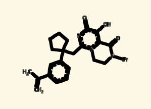 C=C(C)c1cccc(C2(Cc3nc(=O)c(O)c4n3CCN(C(C)C)C4=O)CCCC2)c1